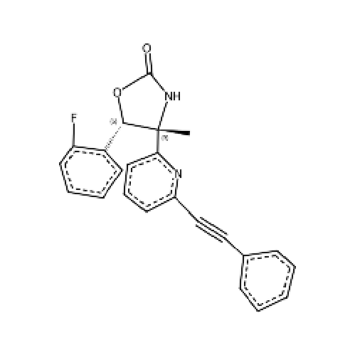 C[C@]1(c2cccc(C#Cc3ccccc3)n2)NC(=O)O[C@H]1c1ccccc1F